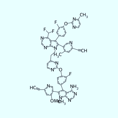 C#Cc1cc(C)c(-c2c(-c3ccc(Oc4nccc(C)n4)c(F)c3)c3c(C(F)F)ncnc3n2CCc2ccnc(Oc3ccc(-c4c(-c5cnc(C#C)cc5OC)n(C)c5ncnc(N)c45)cc3F)n2)cn1